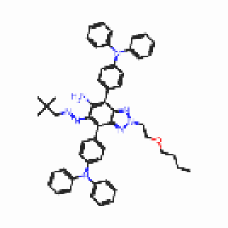 CCCCOCCn1nc2c(-c3ccc(N(c4ccccc4)c4ccccc4)cc3)c(N)c(/N=N/CC(C)(C)C)c(-c3ccc(N(c4ccccc4)c4ccccc4)cc3)c2n1